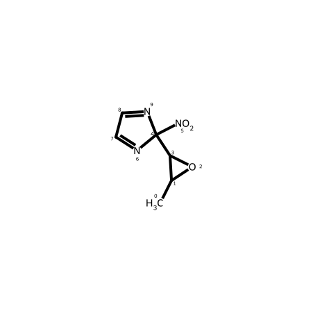 CC1OC1C1([N+](=O)[O-])N=CC=N1